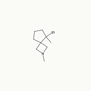 CCC1(C)CCCC12CN(C)C2